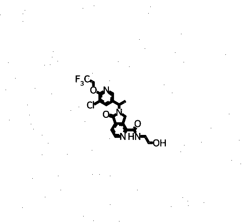 CC(c1cnc(OCC(F)(F)F)c(Cl)c1)N1Cc2c(ccnc2C(=O)NCCO)C1=O